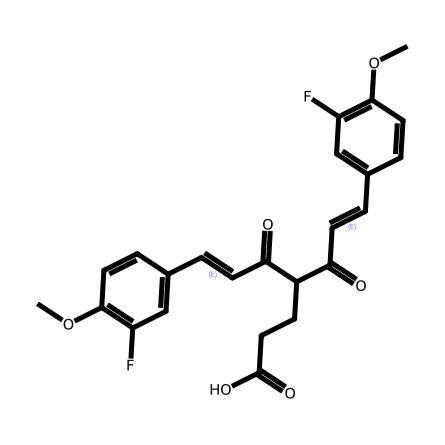 COc1ccc(/C=C/C(=O)C(CCC(=O)O)C(=O)/C=C/c2ccc(OC)c(F)c2)cc1F